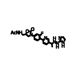 CC(=O)NCC1CN(c2ccc(-c3ccc(C(C)NNC4=NCCN4)cn3)c(F)c2)C(=O)O1